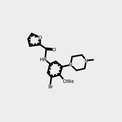 COc1c(Br)cc(NC(=O)c2ccco2)cc1N1CCN(C)CC1